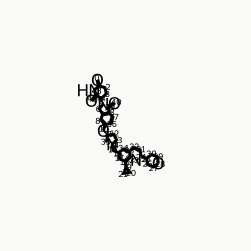 O=C1CC[C@H](N2Cc3cc(O[C@H]4CCN(Cc5cc(C6CC6)c6nc(C7CCOCC7)ccc6c5)C4)ccc3C2=O)C(=O)N1